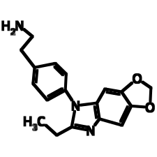 CCc1nc2cc3c(cc2n1-c1ccc(CCN)cc1)OCO3